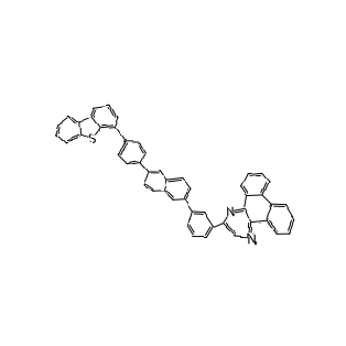 c1cc(-c2ccc3cc(-c4ccc(-c5cccc6c5sc5ccccc56)cc4)ccc3c2)cc(-c2cnc3c4ccccc4c4ccccc4c3n2)c1